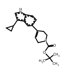 CC(C)(C)OC(=O)N1CC=C(c2ccc3[nH]cc(C4CC4)c3c2)CC1